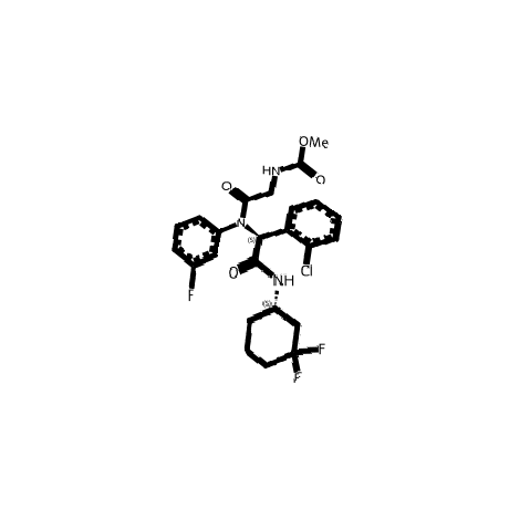 COC(=O)NCC(=O)N(c1cccc(F)c1)[C@H](C(=O)N[C@H]1CCCC(F)(F)C1)c1ccccc1Cl